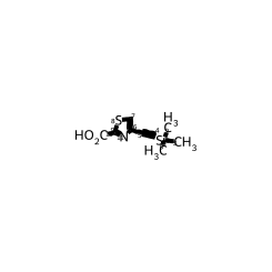 C[Si](C)(C)C#Cc1csc(C(=O)O)n1